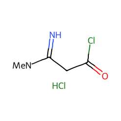 CNC(=N)CC(=O)Cl.Cl